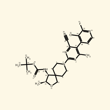 Cc1nc(N2CCC3(CC2)CO[C@@H](C)[C@H]3NC(=O)OC(C)(C)C)nc(C#N)c1-c1ccnc(F)c1Cl